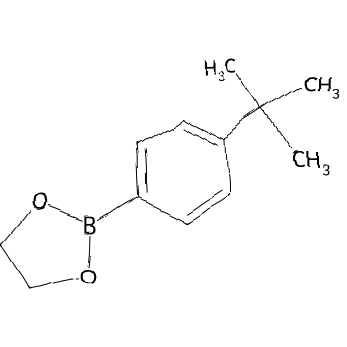 CC(C)(C)c1ccc(B2OCCO2)cc1